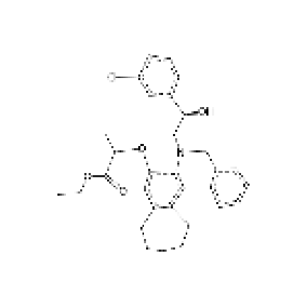 CCOC(=O)C(C)Oc1cc2c(cc1N(Cc1ccccc1)C[C@H](O)c1cccc(Cl)c1)CCCCC2